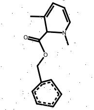 CC1=CC=CN(C)C1C(=O)OCc1ccccc1